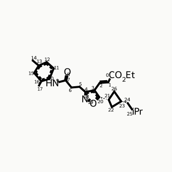 CCOC(=O)/C=C/c1c(CCC(=O)Nc2ccc(C)cc2C)noc1[C@H]1C[C@@H](CC(C)C)C1